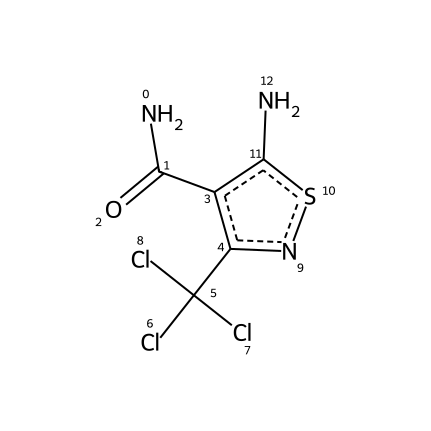 NC(=O)c1c(C(Cl)(Cl)Cl)nsc1N